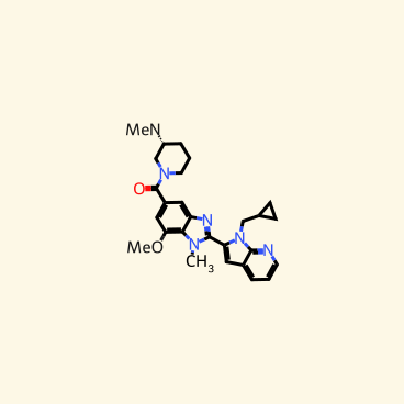 CN[C@@H]1CCCN(C(=O)c2cc(OC)c3c(c2)nc(-c2cc4cccnc4n2CC2CC2)n3C)C1